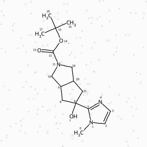 Cn1ccnc1C1(O)CC2CN(C(=O)OC(C)(C)C)CC2C1